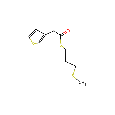 CSCCCSC(=O)Cc1ccsc1